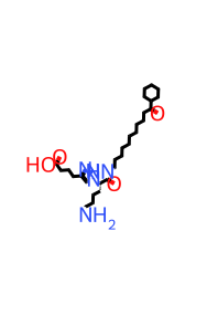 NCCCC[C@@H](C(=O)NCCCCCCCCCCC(=O)C1CCCCC1)n1cc(CCCC(=O)O)nn1